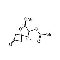 CO[C@@H]1OC2(CC(=O)C2)[C@@H](C)C1OC(=O)C(C)(C)C